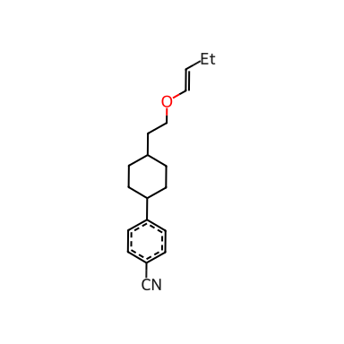 CC/C=C/OCCC1CCC(c2ccc(C#N)cc2)CC1